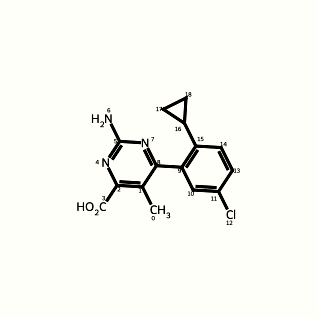 Cc1c(C(=O)O)nc(N)nc1-c1cc(Cl)ccc1C1CC1